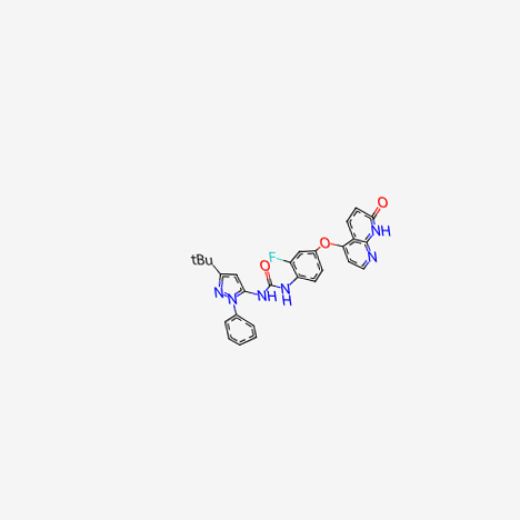 CC(C)(C)c1cc(NC(=O)Nc2ccc(Oc3ccnc4[nH]c(=O)ccc34)cc2F)n(-c2ccccc2)n1